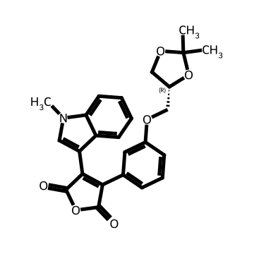 Cn1cc(C2=C(c3cccc(OC[C@@H]4COC(C)(C)O4)c3)C(=O)OC2=O)c2ccccc21